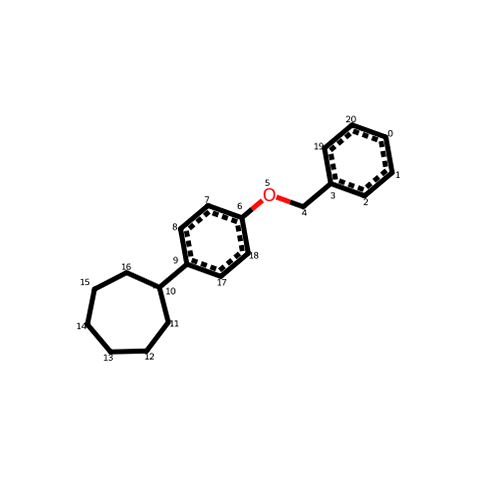 c1ccc(COc2ccc([C]3CCCCCC3)cc2)cc1